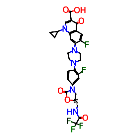 O=C(O)c1cn(C2CC2)c2cc(N3CCN(c4ccc(N5C[C@H](CNC(=O)C(F)(F)F)OC5=O)cc4F)CC3)c(F)cc2c1=O